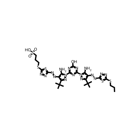 CCCSc1nnc(N=Nc2c(C(C)(C)C)nn(-c3nc(O)nc(-n4nc(C(C)(C)C)c(N=Nc5nnc(SCCCS(=O)(=O)O)s5)c4N)n3)c2N)s1